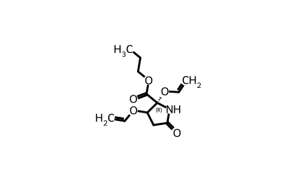 C=COC1CC(=O)N[C@]1(OC=C)C(=O)OCCC